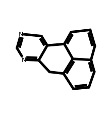 c1cc2c3c(cccc3c1)-c1cncnc1C2